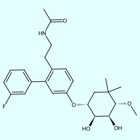 CO[C@@H]1[C@@H](O)[C@@H](O)[C@H](Oc2ccc(CCNC(C)=O)c(-c3cccc(F)c3)c2)CC1(C)C